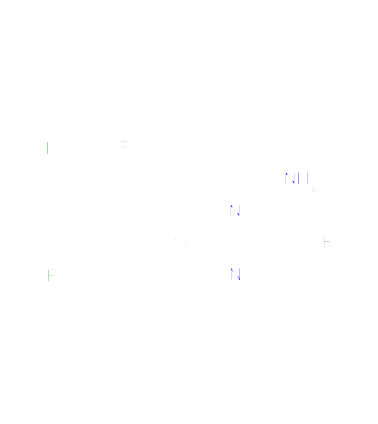 Cc1c(F)cc(F)c(F)c1COc1ncc(F)c(N)n1